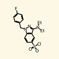 CCN(CC)c1nn(Cc2ccc(F)cc2)c2ccc(S(=O)(=O)Cl)cc12